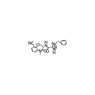 CN1C(=O)[C@@H](NC(=O)c2nc(Cc3ccccc3)n[nH]2)COc2c(C#N)cccc21